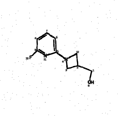 OCC1CN(c2cccc(F)n2)C1